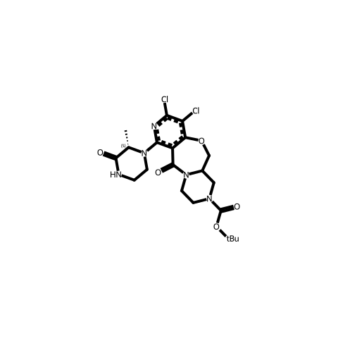 C[C@H]1C(=O)NCCN1c1nc(Cl)c(Cl)c2c1C(=O)N1CCN(C(=O)OC(C)(C)C)CC1CO2